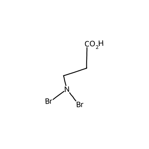 O=C(O)CCN(Br)Br